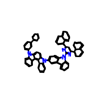 c1ccc(-c2cccc(-n3c4ccccc4c4c5c6ccccc6n(-c6ccc7c(c6)c6ccccc6n7-c6nc(-c7cccc8ccccc78)cc(-c7cccc8ccccc78)n6)c5ccc43)c2)cc1